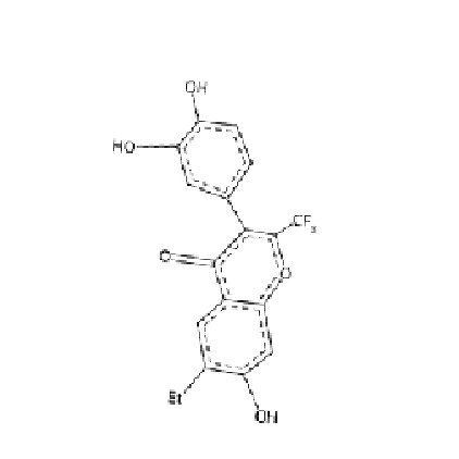 CCc1cc2c(=O)c(-c3ccc(O)c(O)c3)c(C(F)(F)F)oc2cc1O